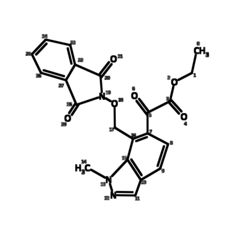 CCOC(=O)C(=O)c1ccc2cnn(C)c2c1CON1C(=O)c2ccccc2C1=O